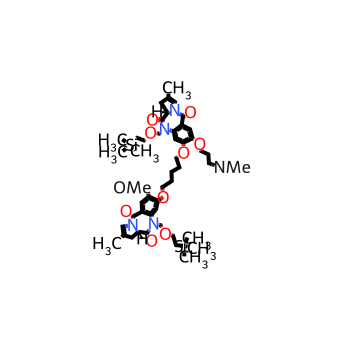 CNCCCOc1cc2c(cc1OCCCCCOc1cc3c(cc1OC)C(=O)N1C=C(C)C[C@H]1C(=O)N3COCC[Si](C)(C)C)N(COCC[Si](C)(C)C)C(=O)[C@@H]1CC(C)=CN1C2=O